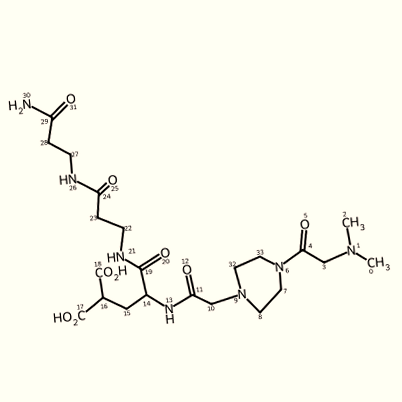 CN(C)CC(=O)N1CCN(CC(=O)NC(CC(C(=O)O)C(=O)O)C(=O)NCCC(=O)NCCC(N)=O)CC1